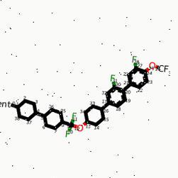 CCCCCC1CCC(C2CCC(C(F)(F)OC3CCC(c4ccc(-c5ccc(OC(F)(F)F)c(F)c5)c(F)c4)CC3)CC2)CC1